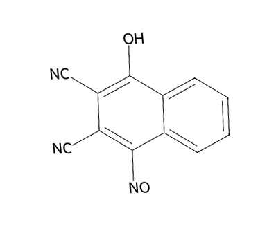 N#Cc1c(C#N)c(N=O)c2ccccc2c1O